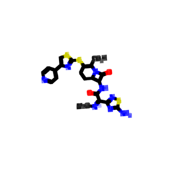 CO/N=C(\C(=O)NC1C(=O)N2C(C(=O)O)=C(Sc3nc(-c4ccncc4)cs3)CCC12)c1nsc(N)n1